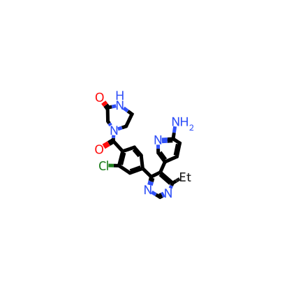 CCc1ncnc(-c2ccc(C(=O)N3CCNC(=O)C3)c(Cl)c2)c1-c1ccc(N)nc1